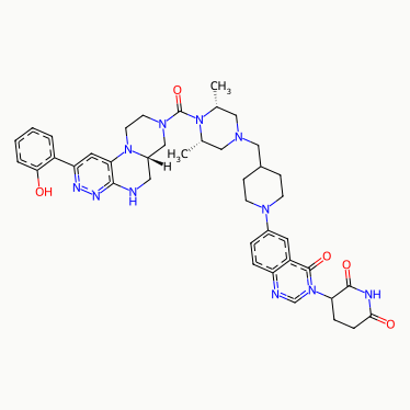 C[C@@H]1CN(CC2CCN(c3ccc4ncn(C5CCC(=O)NC5=O)c(=O)c4c3)CC2)C[C@H](C)N1C(=O)N1CCN2c3cc(-c4ccccc4O)nnc3NC[C@H]2C1